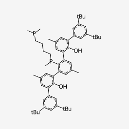 Cc1cc(-c2cc(C(C)(C)C)cc(C(C)(C)C)c2)c(O)c(-c2cc(C)cc(-c3cc(C)cc(-c4cc(C(C)(C)C)cc(C(C)(C)C)c4)c3O)c2P(C)CCCCP(C)C)c1